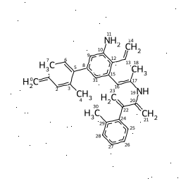 C=C/C=C(C)\C(=C/C)c1cc(N)c(C=C)c(/C=C(\C)NC(=C)C(=C)c2ccccc2C)c1